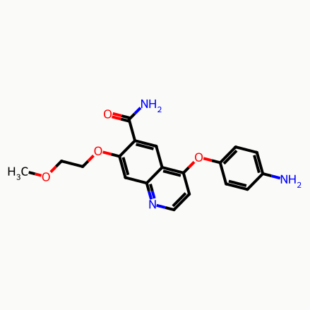 COCCOc1cc2nccc(Oc3ccc(N)cc3)c2cc1C(N)=O